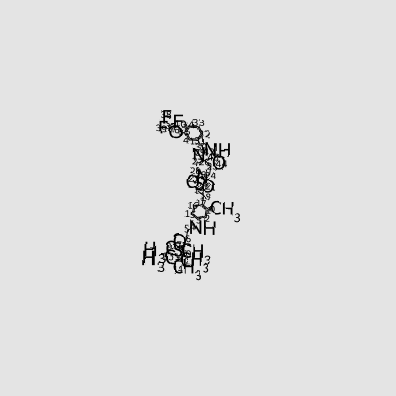 Cc1cc(NCCO[Si](C)(C)C(C)(C)C)ccc1CCS(=O)(=O)N1CCC2(CC1)N=C(c1cccc(OC(F)(F)F)c1)NC2=O